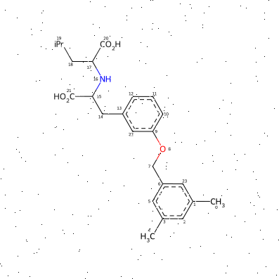 Cc1cc(C)cc(COc2cccc(CC(NC(CC(C)C)C(=O)O)C(=O)O)c2)c1